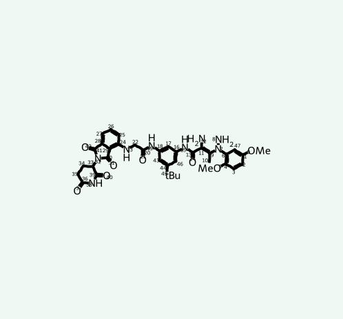 COc1ccc(OC)c(N(N)/C(C)=C(\N)C(=O)Nc2cc(NC(=O)CNc3cccc4c3C(=O)N(C3CCC(=O)NC3=O)C4=O)cc(C(C)(C)C)c2)c1